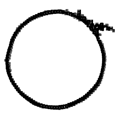 C[C@@H]1CCC[C@H](C)[C@H](O)[C@@H](C)C(=O)C(C)(C)[C@@H](O)CC(=O)O[C@H](c2ccc3oc(CN)nc3c2)C[C@@H]2CC2CCCCCCCCCCCCCCCCCCCCCCCCCCCCCCCCCCCCCCCCCCCCCCCCCCCCCCCCCCCCCCCCCCCCCCCCCCCCCCCCCCCCCCCCCCCCCCCCCCO1